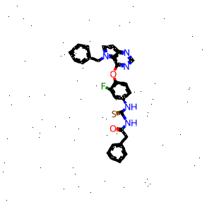 O=C(Cc1ccccc1)NC(=S)Nc1ccc(Oc2ncnc3ccn(Cc4ccccc4)c23)c(F)c1